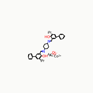 CC(=O)[O-].CC(=O)[O-].CC(C)c1cc(-c2ccccc2)cc(C=NC2CCC(N=Cc3cc(-c4ccccc4)cc(C(C)C)c3O)CC2)c1O.[Co+2]